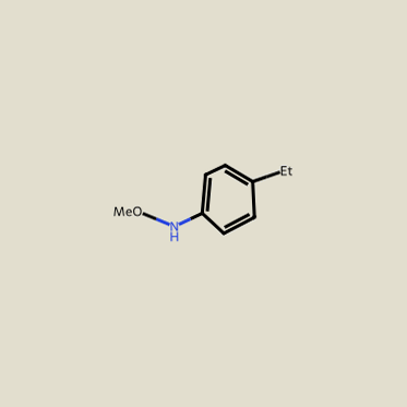 CCc1ccc(NOC)cc1